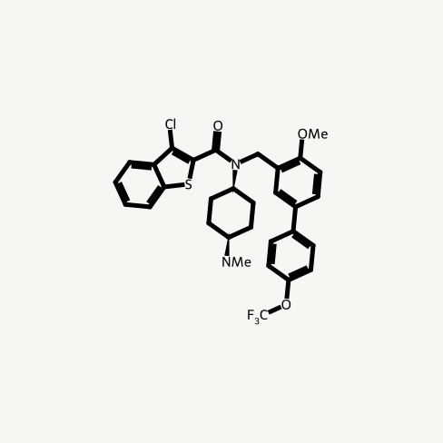 CN[C@H]1CC[C@@H](N(Cc2cc(-c3ccc(OC(F)(F)F)cc3)ccc2OC)C(=O)c2sc3ccccc3c2Cl)CC1